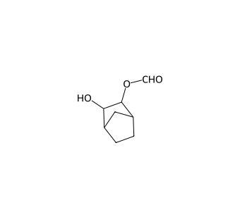 O=COC1C2CCC(C2)C1O